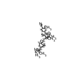 Cc1cc(N2C(=O)C(C)(C)N(CCCOc3ccc(CNC(C)C)cc3F)C2=S)ccc1C#N